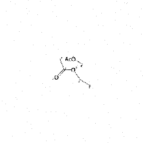 CCOC(C)=O.COC(C)=O